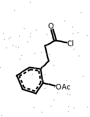 CC(=O)Oc1ccccc1CCC(=O)Cl